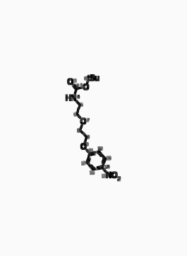 CC(C)(C)OC(=O)NCCOCCOc1ccc([N+](=O)[O-])cc1